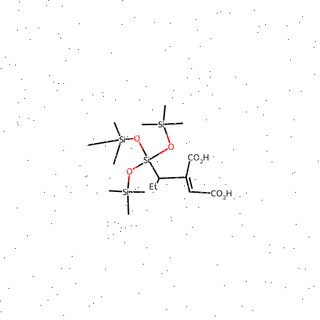 CCC(C(=CC(=O)O)C(=O)O)[Si](O[Si](C)(C)C)(O[Si](C)(C)C)O[Si](C)(C)C